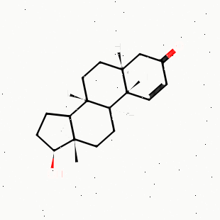 C[C@]12CC[C@@H]3[C@H]4C=CC(=O)C[C@H]4CC[C@H]3[C@@H]1CC[C@@H]2O